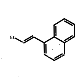 CCC=Cc1cccc2ccccc12